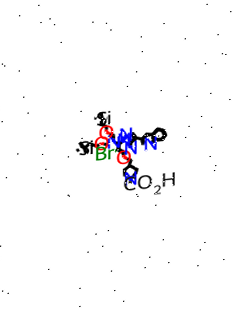 C[Si](C)(C)CCOCN(COCC[Si](C)(C)C)c1c(Br)c(OCC2CCN(C(=O)O)CC2)nc2c(-c3cnc4ccccc4c3)cnn12